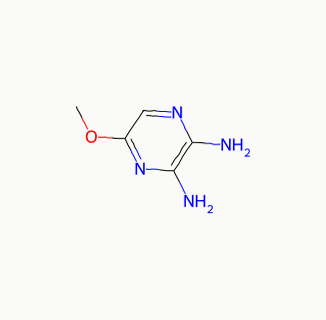 COc1cnc(N)c(N)n1